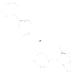 C[C@@H](Nc1nccc(N2C(=O)OCC2(C)C)n1)c1ccc(N2CCCCC2)cc1